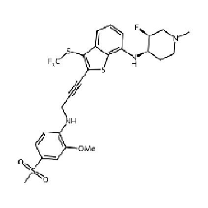 COc1cc(S(C)(=O)=O)ccc1NCC#Cc1sc2c(N[C@@H]3CCN(C)C[C@@H]3F)cccc2c1SC(F)(F)F